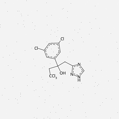 OC(Cc1nc[nH]n1)(CC(Cl)(Cl)Cl)c1cc(Cl)cc(Cl)c1